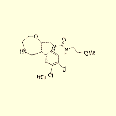 COCCNC(=O)NCC1OCCNCC1c1ccc(Cl)c(Cl)c1.Cl